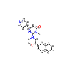 Cn1c(N2CCOC(C3CCc4ccccc4C3)C2)nc(-c2ccncc2)cc1=O